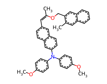 COc1ccc(N(c2ccc(OC)cc2)c2ccc3cc(C=C(C)OCc4cc5ccccc5cc4C)ccc3c2)cc1